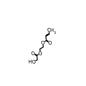 CC=CC(=O)OCCOC(=O)CO